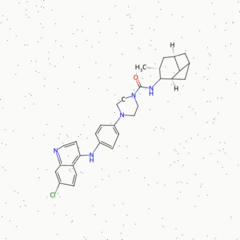 C[C@@H]1C[C@H]2CC3C[C@H](C32)C1NC(=O)N1CCN(c2ccc(Nc3ccnc4cc(Cl)ccc34)cc2)CC1